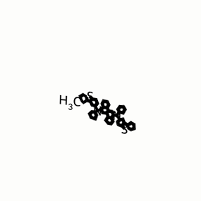 CC1C=Cc2sc3ccc(N(c4ccccc4)c4cc5c6ccccc6c(N(c6ccccc6)c6ccc7sc8ccccc8c7c6)cc5c5ccccc45)cc3c2C1